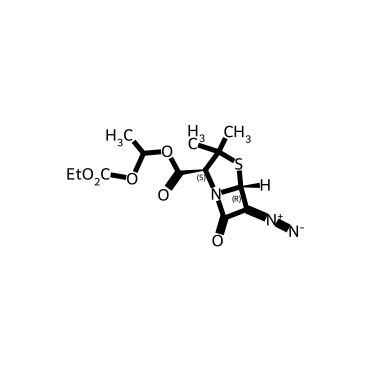 CCOC(=O)OC(C)OC(=O)[C@@H]1N2C(=O)C(=[N+]=[N-])[C@H]2SC1(C)C